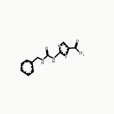 O=C(NCc1ccccc1)Nc1ncc(C(=O)C(F)(F)F)s1